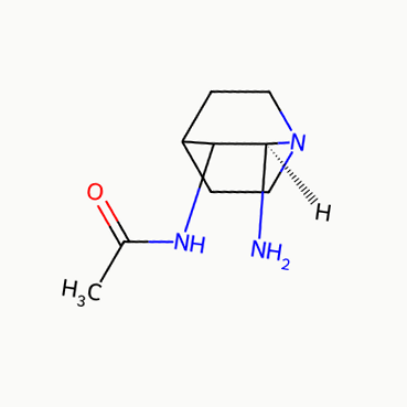 CC(=O)NC1C2CCN(CC2)[C@H]1N